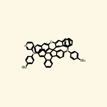 CC(C)(C)c1ccc(N(c2cccnc2)c2ccc3c(c2)C2(c4cc5ccccc5cc4Oc4cc5ccccc5cc42)c2c-3c3ccccc3c3cc(N(c4ccc(C(C)(C)C)cc4)c4cccnc4)ccc23)cc1